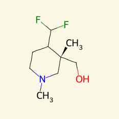 CN1CCC(C(F)F)[C@](C)(CO)C1